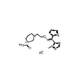 Cl.Cn1ncnc1/C(=N/OCCN1CCC[C@@H](C(=O)O)C1)c1cccs1